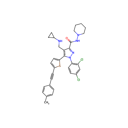 Cc1ccc(C#Cc2ccc(-c3c(CNC4CC4)c(C(=O)NN4CCCCC4)nn3-c3ccc(Cl)cc3Cl)s2)cc1